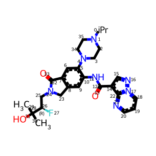 CC(C)N1CCN(c2cc3c(cc2NC(=O)c2cnn4cccnc24)CN(C[C@@H](F)C(C)(C)O)C3=O)CC1